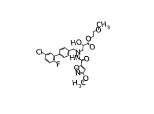 COCCOC(=O)C(O)CN(Cc1ccc(-c2cc(Cl)ccc2F)cc1)NC(=O)c1cc(OC)no1